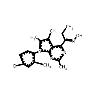 CC/C(=N\O)c1nc(C)nc2c1c(C)c(C)n2-c1ccc(Cl)cc1C